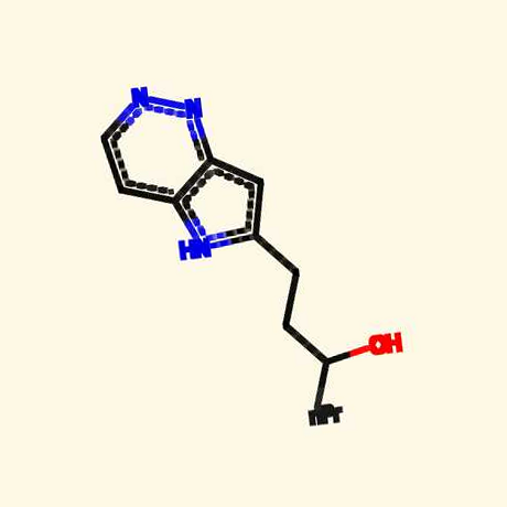 CCCC(O)CCc1cc2nnccc2[nH]1